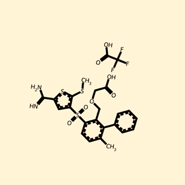 CSc1sc(C(=N)N)cc1S(=O)(=O)c1ccc(C)c(-c2ccccc2)c1COCC(=O)O.O=C(O)C(F)(F)F